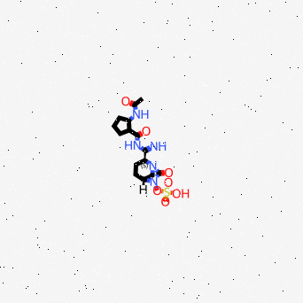 CC(=O)NC1CCCC1C(=O)NC(=N)[C@@H]1CC[C@@H]2CN1C(=O)N2OS(=O)(=O)O